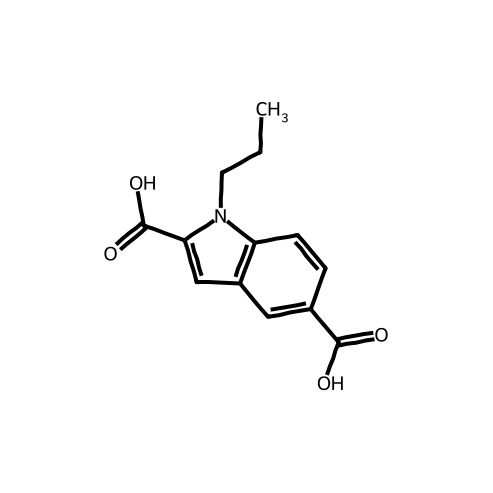 CCCn1c(C(=O)O)cc2cc(C(=O)O)ccc21